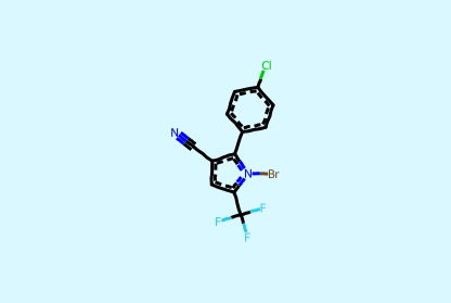 N#Cc1cc(C(F)(F)F)n(Br)c1-c1ccc(Cl)cc1